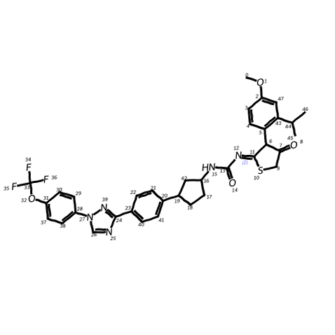 COc1ccc(C2C(=O)CS/C2=N\C(=O)NC2CCC(c3ccc(-c4ncn(-c5ccc(OC(F)(F)F)cc5)n4)cc3)C2)c(C(C)C)c1